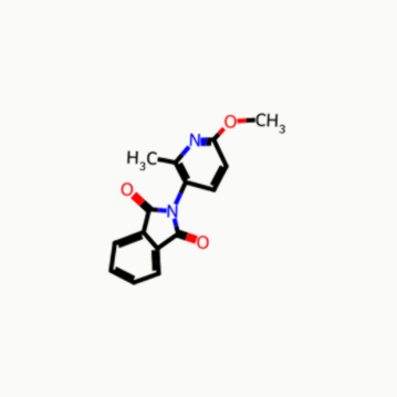 COc1ccc(N2C(=O)c3ccccc3C2=O)c(C)n1